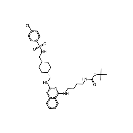 CC(C)(C)OC(=O)NCCCCNc1nc(NC[C@H]2CC[C@H](CNS(=O)(=O)c3ccc(Cl)cc3)CC2)nc2ccccc12